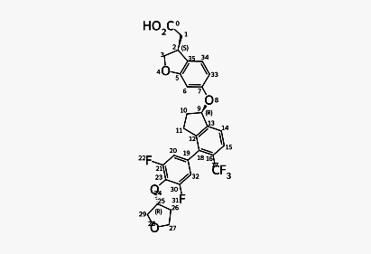 O=C(O)C[C@@H]1COc2cc(O[C@@H]3CCc4c3ccc(C(F)(F)F)c4-c3cc(F)c(O[C@@H]4CCOC4)c(F)c3)ccc21